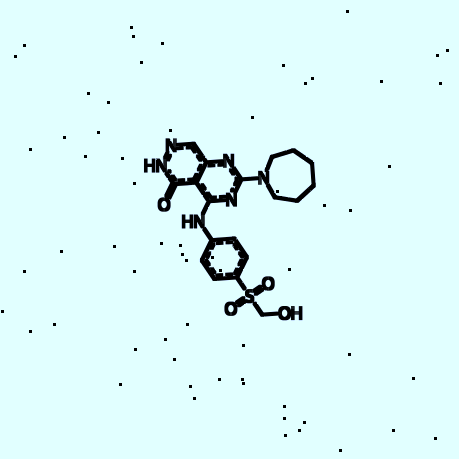 O=c1[nH]ncc2nc(N3CCCCCC3)nc(Nc3ccc(S(=O)(=O)CO)cc3)c12